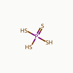 S=P(S)(S)S